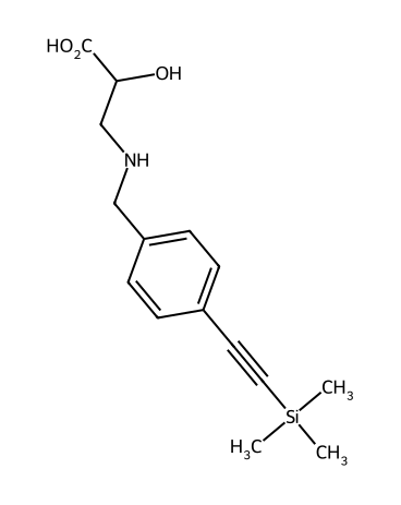 C[Si](C)(C)C#Cc1ccc(CNCC(O)C(=O)O)cc1